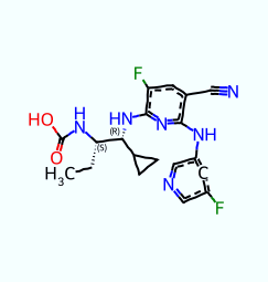 CC[C@H](NC(=O)O)[C@H](Nc1nc(Nc2cncc(F)c2)c(C#N)cc1F)C1CC1